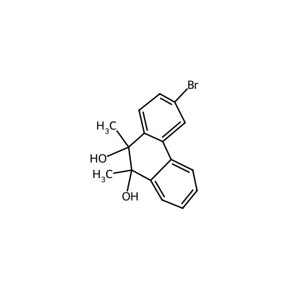 CC1(O)c2ccccc2-c2cc(Br)ccc2C1(C)O